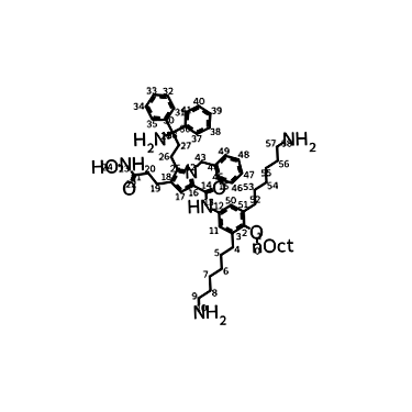 CCCCCCCCOc1c(CCCCCCN)cc(NC(=O)c2cc(CCC(=O)NO)c(CCC(N)(c3ccccc3)c3ccccc3)n2Cc2ccccc2)cc1CCCCCCN